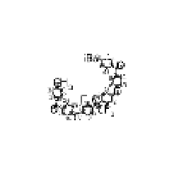 CCC(C)c1ccc(C(=O)c2ccc(Oc3ccc(C(c4ccc(Oc5ccc(C(=O)c6ccc(C)cc6)cc5)cc4)(C(F)(F)F)C(F)(F)F)cc3)cc2)cc1